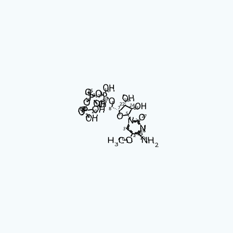 COc1cn([C@@H]2O[C@H](COP(=O)(O)OP(=O)(O)OP(=O)(O)O)[C@H](O)C2O)c(=O)nc1N